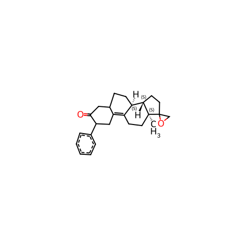 C[C@]12CCC3=C4CC(c5ccccc5)C(=O)CC4CC[C@H]3[C@@H]1CCC21CO1